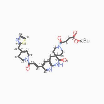 CC(C)(C)OC(=O)CCC(=O)N1CCC2(CC1)Cc1cc(C=CC(=O)N3CC=C(Cc4nccs4)CC3)cnc1NC2=O